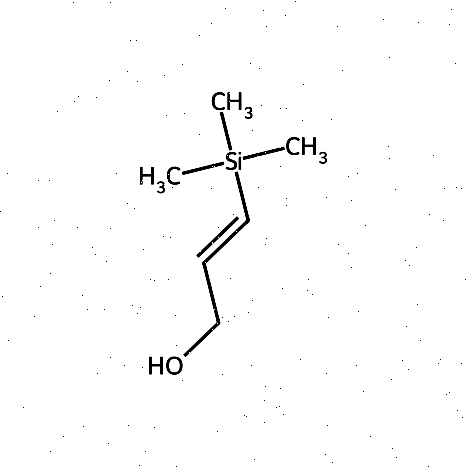 C[Si](C)(C)C=CCO